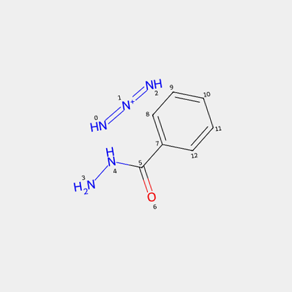 N=[N+]=N.NNC(=O)c1ccccc1